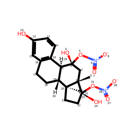 C[C@]12C[C@@](O)(O[N+](=O)[O-])[C@@H]3c4ccc(O)cc4CC[C@H]3[C@@H]1CC[C@@]2(O)O[N+](=O)[O-]